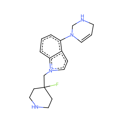 FC1(Cn2ccc3c(N4C=CCNC4)cccc32)CCNCC1